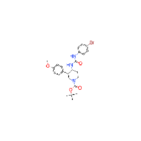 COc1ccc(C2CN(C(=O)OC(C)(C)C)CCC2NC(=O)Nc2ccc(Br)cc2)cc1